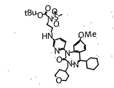 COc1ccc2c(c1)N(c1ccc(NCCN(C(=O)OC(C)(C)C)S(C)(=O)=O)cn1)C(=O)N(C1CCOCC1)N=C2C1CCCCC1